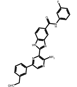 Nc1ncc(-c2cccc(CC=O)c2)nc1-c1nc2cc(C(=O)Nc3cccc(F)c3)ccc2[nH]1